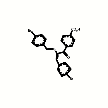 O=C(O)c1ccc(C(=O)/C(=C\c2ccc(Br)cc2)SCc2ccc(Br)cc2)cc1